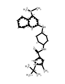 Cc1cc(C(=O)NC2CCC(Nc3cc(N(C)C)c4ccccc4n3)CC2)nn1C(C)(C)C